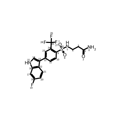 NC(=O)CCNS(=O)(=O)c1ccc(-c2c[nH]c3cc(F)ccc23)cc1C(F)(F)F